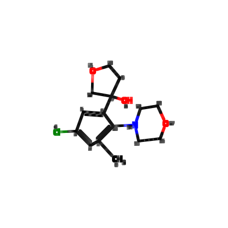 Cc1cc(Cl)cc(C2(O)CCOC2)c1N1CCOCC1